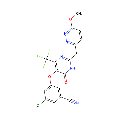 COc1ccc(Cc2nc(C(F)(F)F)c(Oc3cc(Cl)cc(C#N)c3)c(=O)[nH]2)nn1